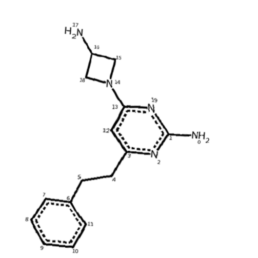 Nc1nc(CCc2ccccc2)cc(N2CC(N)C2)n1